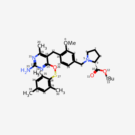 COc1cc(CN2CCC[C@@H]2C(=O)OC(C)(C)C)ccc1Cc1c(C)nc(N)nc1OSc1c(C)cc(C)cc1C